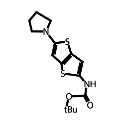 CC(C)(C)OC(=O)Nc1cc2sc(N3CCCC3)cc2s1